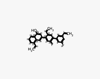 C=Cc1cc(F)cc(-c2cc(C=C)c(-c3cc(O)c4cccc(C=C)c4c3)cc2F)c1